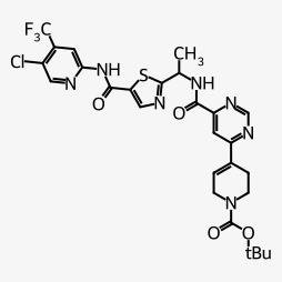 CC(NC(=O)c1cc(C2=CCN(C(=O)OC(C)(C)C)CC2)ncn1)c1ncc(C(=O)Nc2cc(C(F)(F)F)c(Cl)cn2)s1